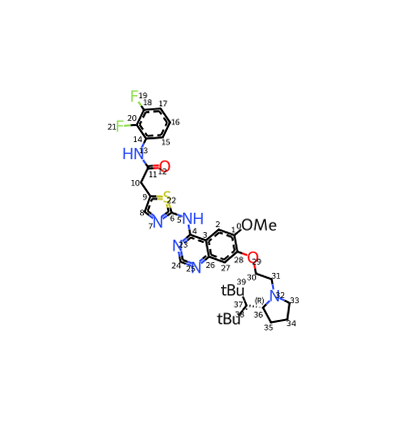 COc1cc2c(Nc3ncc(CC(=O)Nc4cccc(F)c4F)s3)ncnc2cc1OCCN1CCC[C@@H]1[C](C(C)(C)C)C(C)(C)C